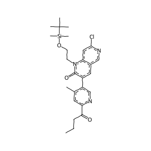 CCCC(=O)c1cc(C)c(-c2cc3cnc(Cl)cc3n(CCO[Si](C)(C)C(C)(C)C)c2=O)cn1